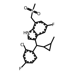 CC1CC1C(c1ccc(F)cc1Cl)c1c[nH]c2c(CS(C)(=O)=O)cc(F)cc12